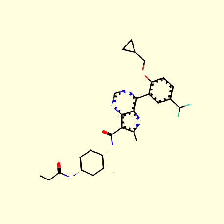 CCC(=O)N[C@H]1CC[C@H](NC(=O)c2c(C)[nH]c3c(-c4cc(C(F)F)ccc4OCC4CC4)ncnc23)[C@H](F)C1